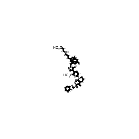 Cc1c(Nc2nc3ccccc3s2)nnc2c1CCCN2c1ccc(-c2cnn(CC34CC5(C)CC(C)(CC(CCCNCCC(=O)O)(C5)C3)C4)c2C)c(C(=O)O)n1